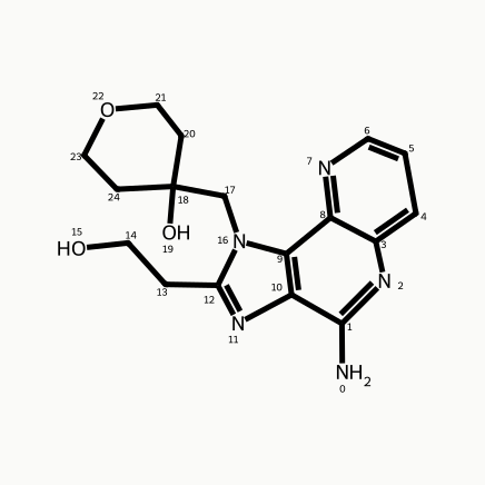 Nc1nc2cccnc2c2c1nc(CCO)n2CC1(O)CCOCC1